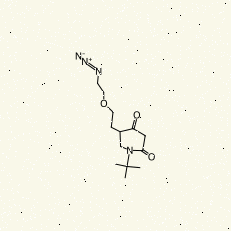 CC(C)(C)N1CC(CCOCCN=[N+]=[N-])C(=O)CC1=O